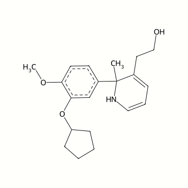 COc1ccc(C2(C)NC=CC=C2CCO)cc1OC1CCCC1